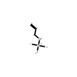 C=CC[O][Ti]([I])([I])[I]